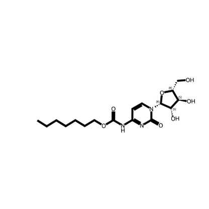 CCCCCCCOC(=O)Nc1ccn([C@@H]2O[C@H](CO)[C@@H](O)[C@@H]2O)c(=O)n1